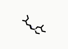 CCC(C)C/C=C/P(CC)CC(C)CC